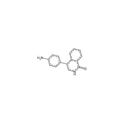 Nc1ccc(-c2c[nH]c(=O)c3ccccc23)cc1